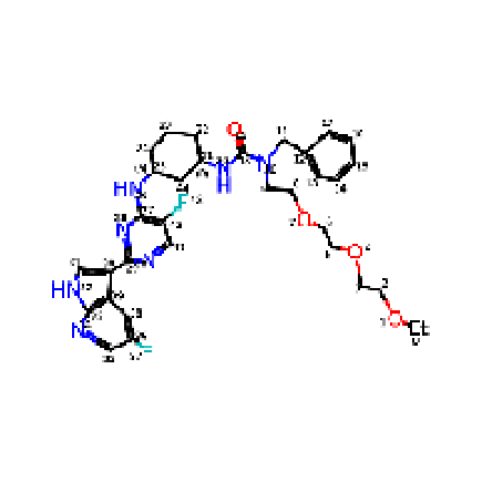 CCOCCOCCOCCN(Cc1ccccc1)C(=O)N[C@@H]1CCC[C@H](Nc2nc(-c3c[nH]c4ncc(F)cc34)ncc2F)C1